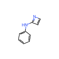 C1=CC(Nc2ccccc2)=N1